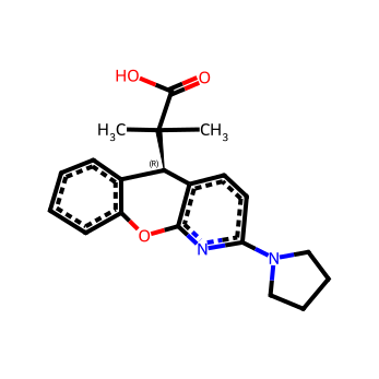 CC(C)(C(=O)O)[C@@H]1c2ccccc2Oc2nc(N3CCCC3)ccc21